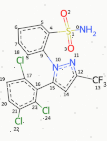 NS(=O)(=O)c1ccccc1-n1nc(C(F)(F)F)cc1-c1c(Cl)ccc(Cl)c1Cl